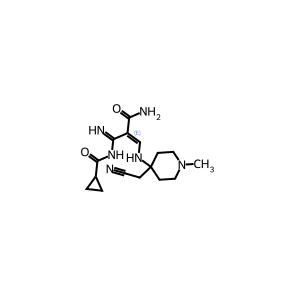 CN1CCC(CC#N)(N/C=C(\C(=N)NC(=O)C2CC2)C(N)=O)CC1